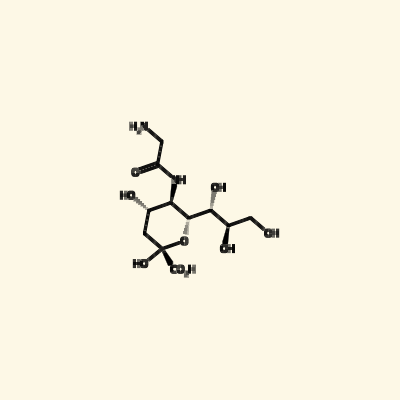 NCC(=O)N[C@H]1[C@H]([C@H](O)[C@H](O)CO)O[C@@](O)(C(=O)O)C[C@@H]1O